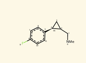 CNCC1C[C@@H]1c1ccc(F)cc1